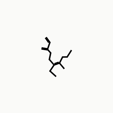 C=CC(=C)CCC(CC)=C(C)CCC